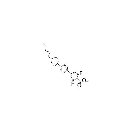 CCCCCC1CCC(c2ccc(-c3cc(F)c(C(=O)OC)c(F)c3)cc2)CC1